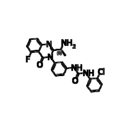 C[C@H](N)c1nc2cccc(F)c2c(=O)n1-c1cccc(NC(=O)Nc2ccccc2Cl)c1